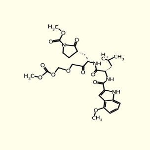 COC(=O)OCOCC(=O)[C@H](C[C@@H]1CCN(C(=O)OC)C1=O)NC(=O)[C@H](CC(C)C)NC(=O)c1cc2c(OC)cccc2[nH]1